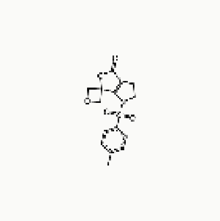 Cc1ccc(S(=O)(=O)N2CCC3=C2C2(COC2)OC3=O)cc1